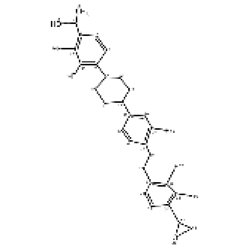 CC(O)c1ccc(C2CCC(c3ccc(CCc4ccc(C5CO5)c(F)c4F)c(F)c3)CC2)c(F)c1F